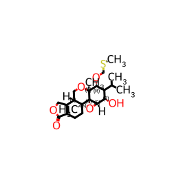 CSCO[C@@H]1C(C(C)C)[C@@H](O)[C@@H]2O[C@@]23[C@@]2(C)CCC4=C(COC4=O)[C@@H]2CO[C@]13C